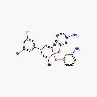 Nc1cccc(OC2(Oc3cccc(N)c3)C(Br)=CC(c3cc(Br)cc(Br)c3)C=C2Br)c1